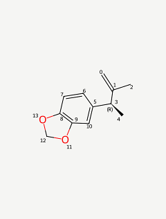 C=C(C)[C@@H](C)c1ccc2c(c1)OCO2